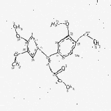 COC(=O)C=C(c1ccc(OC)c(OC)c1)c1ccc(OC)c(OC)c1